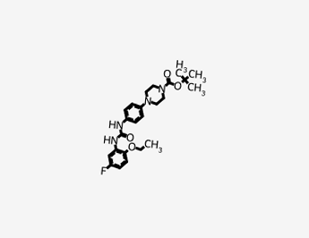 CCOc1ccc(F)cc1NC(=O)Nc1ccc(N2CCN(C(=O)OC(C)(C)C)CC2)cc1